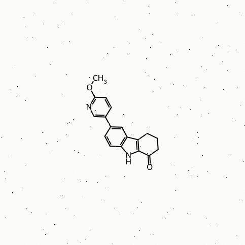 COc1ccc(-c2ccc3[nH]c4c(c3c2)CCCC4=O)cn1